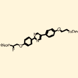 CCCCCCCCCCCCOc1ccc(-c2cnc(-c3ccc(OCC(F)CCCCCCCCC)cc3)nc2)cc1